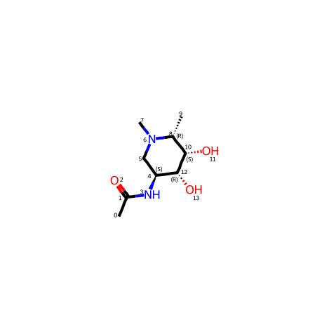 CC(=O)N[C@H]1CN(C)[C@H](C)[C@H](O)[C@@H]1O